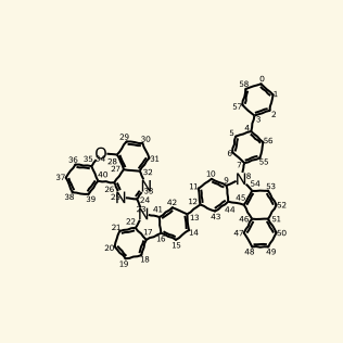 c1ccc(-c2ccc(-n3c4ccc(-c5ccc6c7ccccc7n(-c7nc8c9c(cccc9n7)Oc7ccccc7-8)c6c5)cc4c4c5ccccc5ccc43)cc2)cc1